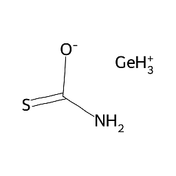 NC([O-])=S.[GeH3+]